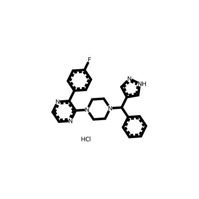 Cl.Fc1ccc(-c2nccnc2N2CCN(C(c3ccccc3)c3cn[nH]c3)CC2)cc1